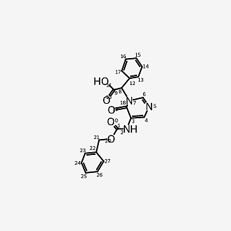 O=C(Nc1cncn(C(C(=O)O)c2ccccc2)c1=O)OCc1ccccc1